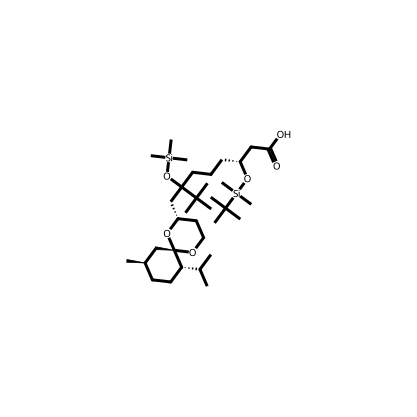 CC(C)[C@@H]1CC[C@@H](C)C[C@@]12OCC[C@@H](CC(CCC[C@H](CC(=O)O)O[Si](C)(C)C(C)(C)C)(O[Si](C)(C)C)C(C)(C)C)O2